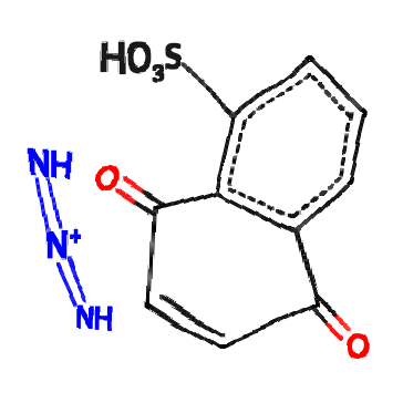 N=[N+]=N.O=C1C=CC(=O)c2c1cccc2S(=O)(=O)O